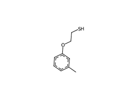 Cc1cccc(OCCS)c1